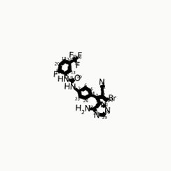 N#Cc1c(-c2ccc(NC(=O)Nc3cc(C(F)(F)F)ccc3F)cc2)c2c(N)ncnn2c1Br